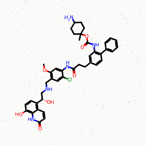 COc1cc(NC(=O)CCc2ccc(-c3ccccc3)c(NC(=O)OC3(C)CCC(N)CC3)c2)c(Cl)cc1CNC[C@H](O)c1ccc(O)c2[nH]c(=O)ccc12